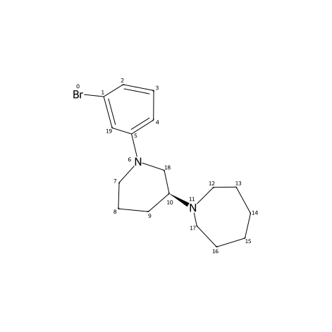 Brc1cccc(N2CCC[C@H](N3CCCCCC3)C2)c1